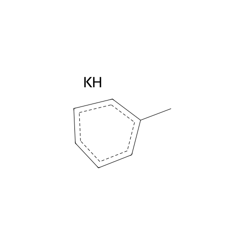 Cc1ccccc1.[KH]